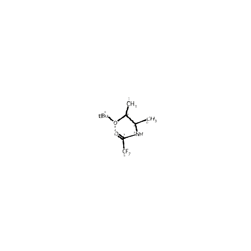 CC(NC(=O)C(F)(F)F)C(C)OC(C)(C)C